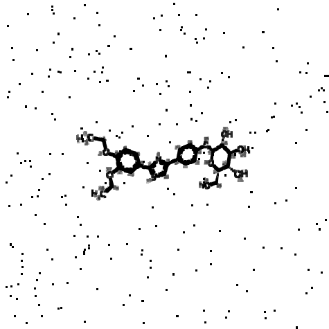 CCOc1ccc(-c2nc(-c3ccc(O[C@@H]4O[C@H](CO)[C@@H](O)[C@H](O)[C@H]4O)cc3)cs2)cc1OCC